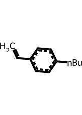 C=[C]c1ccc(CCCC)cc1